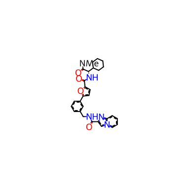 CNC(=O)[C@@H](NC(=O)c1ccc(-c2cccc(CNC(=O)c3cn4ccccc4n3)c2)o1)C1CCCCC1